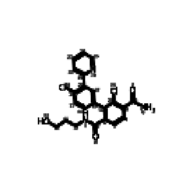 NC(=O)c1ccc(C(=O)NCCCO)c(-c2ccc(Cl)c(-c3ccccn3)c2)c1Cl